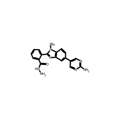 CC(C)(C)n1c(-c2ccccc2C(=O)NN)nc2cc(-c3cnc(N)nc3)ccc21